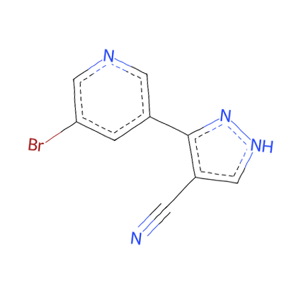 N#Cc1c[nH]nc1-c1cncc(Br)c1